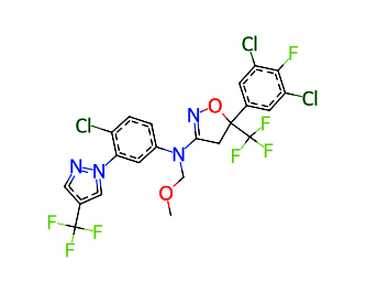 COCN(C1=NOC(c2cc(Cl)c(F)c(Cl)c2)(C(F)(F)F)C1)c1ccc(Cl)c(-n2cc(C(F)(F)F)cn2)c1